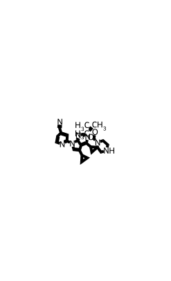 CC(C)(C)OC(=O)N1CCNCC12CC2c1ncnc2c1c(C1CC1)cn2-c1cc(C#N)ccn1